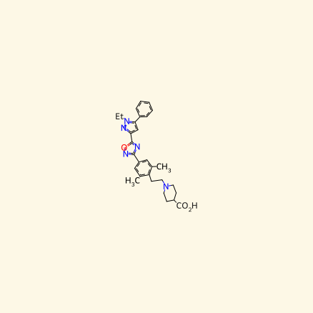 CCn1nc(-c2nc(-c3cc(C)c(CCN4CCC(C(=O)O)CC4)c(C)c3)no2)cc1-c1ccccc1